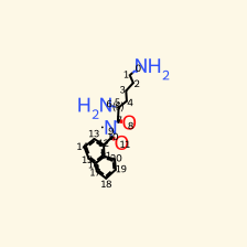 NCCCC[C@H](N)C(=O)[N]C(=O)c1cccc2ccccc12